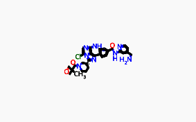 CC1(C(=O)N2CCC[C@@H](c3nc(-c4ccc(C(=O)Nc5cc(CN)ccn5)cc4)c4c(N)ncc(Cl)n34)C2)COC1